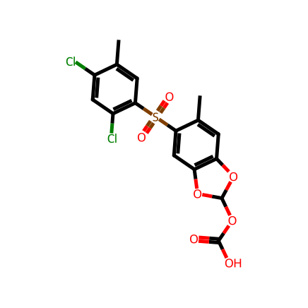 Cc1cc(S(=O)(=O)c2cc3c(cc2C)OC(OC(=O)O)O3)c(Cl)cc1Cl